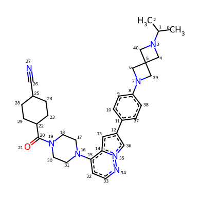 CC(C)N1CC2(CN(c3ccc(-c4cc5c(N6CCN(C(=O)C7CCC(C#N)CC7)CC6)ccnn5c4)cc3)C2)C1